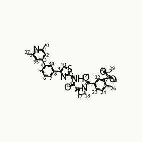 Cc1cc(-c2cccc(-c3csc(NC(=O)[C@H]4CCN4C(=O)c4ccc(C)c(S(C)(=O)=O)c4)n3)c2)cc(C)n1